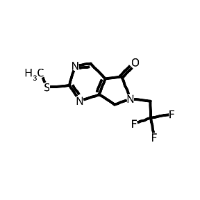 CSc1ncc2c(n1)CN(CC(F)(F)F)C2=O